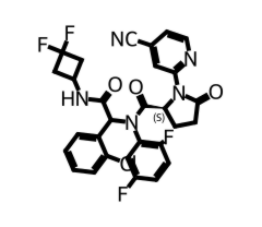 N#Cc1ccnc(N2C(=O)CC[C@H]2C(=O)N(c2cc(F)ccc2F)C(C(=O)NC2CC(F)(F)C2)c2ccccc2Cl)c1